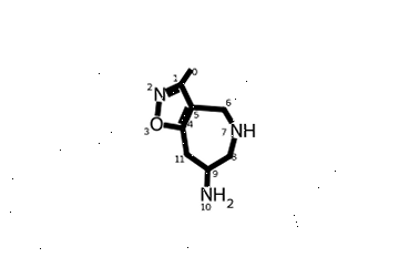 Cc1noc2c1CNCC(N)C2